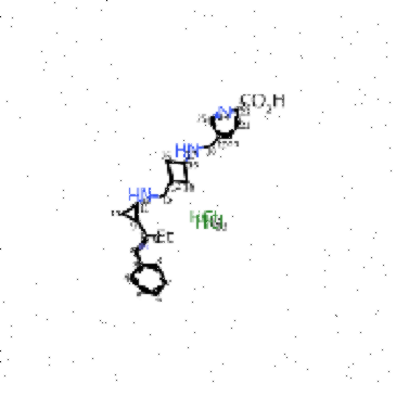 CC/C(=C\c1ccccc1)C1CC1NCC1CC(NCc2ccc(C(=O)O)nc2)C1.Cl.Cl